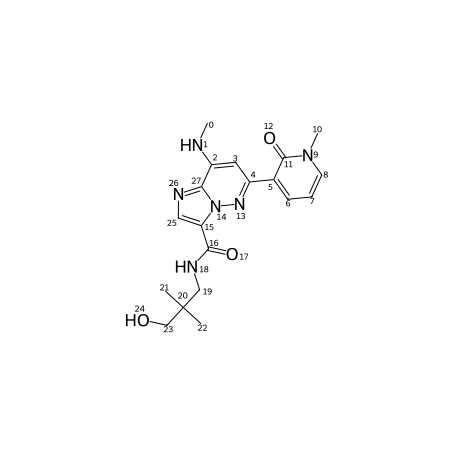 CNc1cc(-c2cccn(C)c2=O)nn2c(C(=O)NCC(C)(C)CO)cnc12